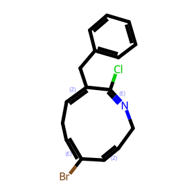 ClC1=N/C/C=C\C(Br)=C/C/C=C\1Cc1ccccc1